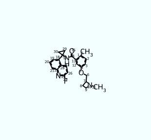 Cc1ccc(OCC2CCN2C)cc1C(=O)NC1(c2cccc3nc(F)ccc23)CC1